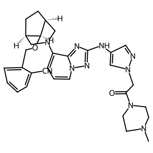 CN1CCN(C(=O)Cn2cc(Nc3nc4c(N5C[C@H]6CC[C@@H](C5)[C@H]6OCc5ccccc5C#N)cccn4n3)cn2)CC1